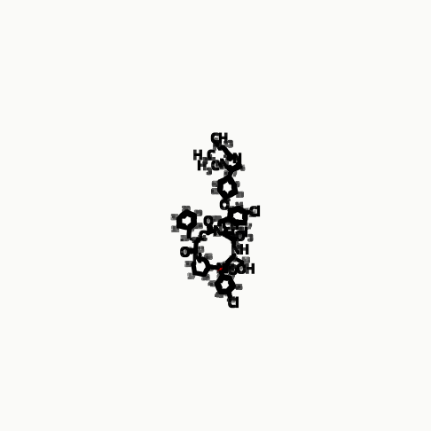 CN(C)Cc1ncc(-c2ccc(Oc3cc(Cl)ccc3CN3C(=O)C[C@@H](Cc4ccccc4)C(=O)N4CCC[C@@](Cc5ccc(Cl)cc5)(C4)NC(=O)[C@H](CO)NC(=O)C3(C)C)cc2)n1C